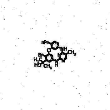 CCCc1ccc(Nc2nc(Nc3cc(Cl)c(Br)c(C(C)(C)O)c3)ncc2C)cc1